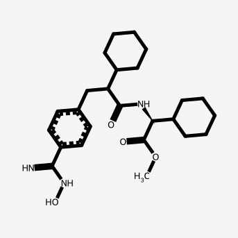 COC(=O)[C@@H](NC(=O)C(Cc1ccc(C(=N)NO)cc1)C1CCCCC1)C1CCCCC1